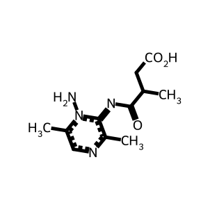 Cc1ncc(C)n(N)/c1=N/C(=O)C(C)CC(=O)O